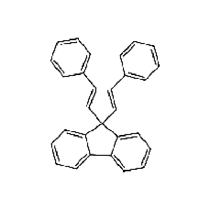 C(=CC1(C=Cc2ccccc2)c2ccccc2-c2ccccc21)c1ccccc1